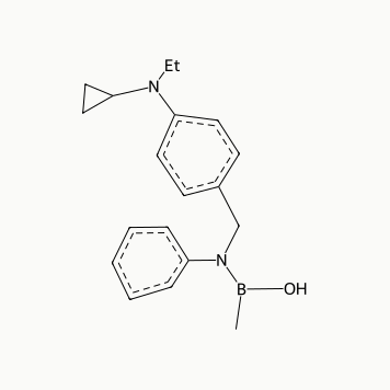 CCN(c1ccc(CN(B(C)O)c2ccccc2)cc1)C1CC1